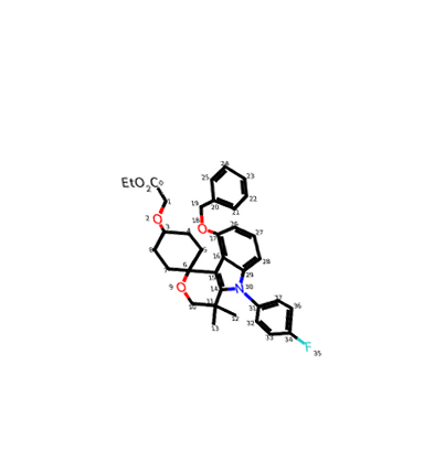 CCOC(=O)COC1CCC2(CC1)OCC(C)(C)c1c2c2c(OCc3ccccc3)cccc2n1-c1ccc(F)cc1